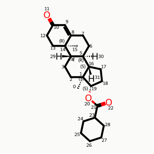 C[C@]12CC[C@H]3[C@@H](CCC4=CC(=O)CC[C@@]43C)[C@@H]1CC[C@@H]2OC(=O)C1CCCCC1